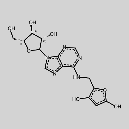 OC[C@H]1OC(n2cnc3c(NCc4oc(O)cc4O)ncnc32)[C@@H](O)[C@@H]1O